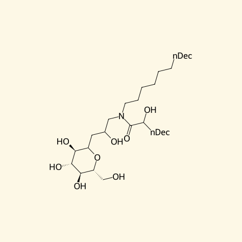 CCCCCCCCCCCCCCCCN(CC(O)CC1O[C@H](CO)[C@@H](O)[C@H](O)[C@H]1O)C(=O)C(O)CCCCCCCCCC